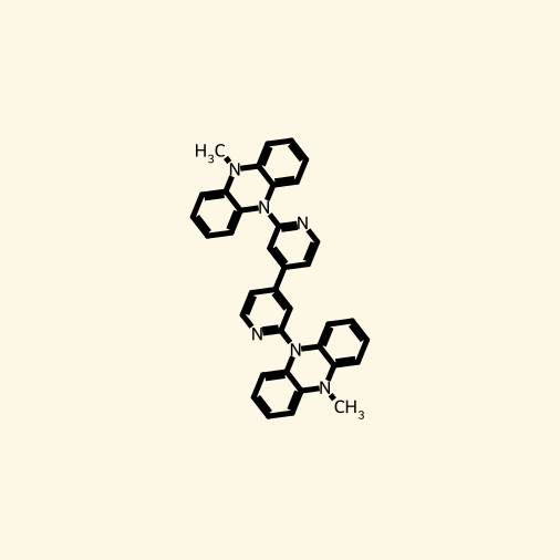 CN1c2ccccc2N(c2cc(-c3ccnc(N4c5ccccc5N(C)c5ccccc54)c3)ccn2)c2ccccc21